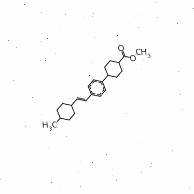 COC(=O)C1CCC(c2ccc(C=CC3CCC(C)CC3)cc2)CC1